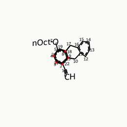 C#Cc1ccc(OCCCCCCCC)c2c1C1c3ccccc3C2c2ccccc21